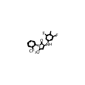 Cc1c(F)cc(NC2=CC(=O)N(c3ccccc3C(F)(F)F)C2=O)cc1F